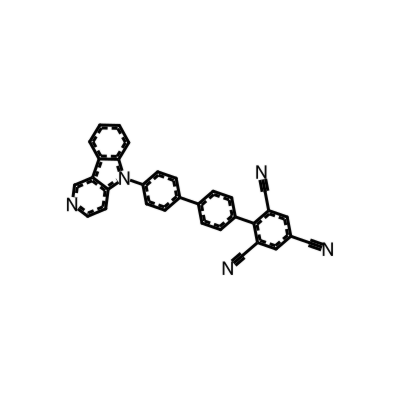 N#Cc1cc(C#N)c(-c2ccc(-c3ccc(-n4c5ccccc5c5cnccc54)cc3)cc2)c(C#N)c1